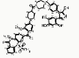 CCOc1cc(N2CCC(C(=O)N3CCN(Cc4ccc(-n5c(O)nnc5-c5cc(C(C)C)c(O)cc5O)cc4)CC3)CC2)ccc1N(CC)c1ncc2c(n1)N(S(C)(=O)=O)c1ccccc1C(=O)N2C